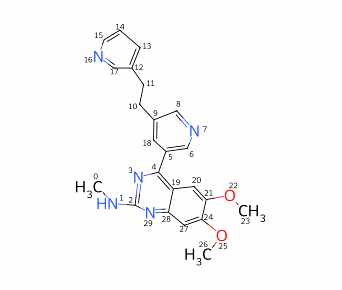 CNc1nc(-c2cncc(CCc3cccnc3)c2)c2cc(OC)c(OC)cc2n1